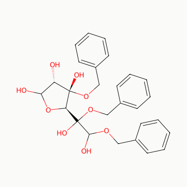 OC1O[C@H](C(O)(OCc2ccccc2)C(O)OCc2ccccc2)[C@@](O)(OCc2ccccc2)[C@H]1O